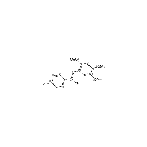 COc1cc(OC)c(OC)cc1/C=C(\C#N)c1ccc(F)cc1